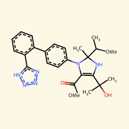 COC(=O)C1=C(C(C)(C)O)NC(C)(C(C)OC)N1c1ccc(-c2ccccc2-c2nnn[nH]2)cc1